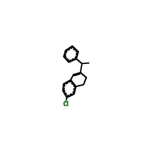 CC(C1=Cc2ccc(Cl)cc2CC1)c1ccccc1